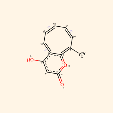 CCCC1=c2oc(=O)cc(O)/c2=C/C=C\C=C/1